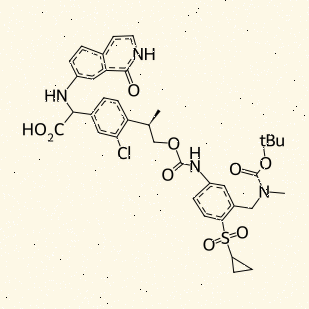 C[C@@H](COC(=O)Nc1ccc(S(=O)(=O)C2CC2)c(CN(C)C(=O)OC(C)(C)C)c1)c1ccc(C(Nc2ccc3cc[nH]c(=O)c3c2)C(=O)O)cc1Cl